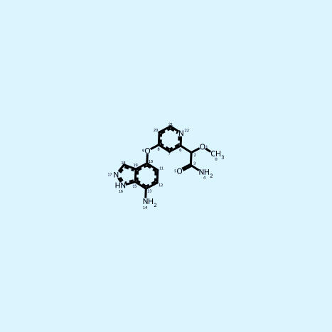 COC(C(N)=O)c1cc(Oc2ccc(N)c3[nH]ncc23)ccn1